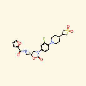 O=C(NC[C@H]1CN(c2ccc(N3CCC(C4CS(=O)(=O)C4)CC3)c(F)c2)C(=O)O1)c1ccco1